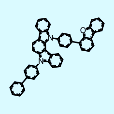 c1ccc(-c2ccc(-n3c4ccccc4c4c3ccc3c5ccccc5n(-c5ccc(-c6cccc7c6oc6ccccc67)cc5)c34)cc2)cc1